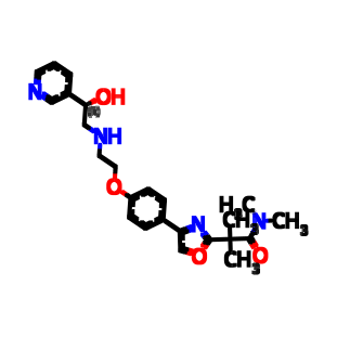 CN(C)C(=O)C(C)(C)c1nc(-c2ccc(OCCNC[C@H](O)c3cccnc3)cc2)co1